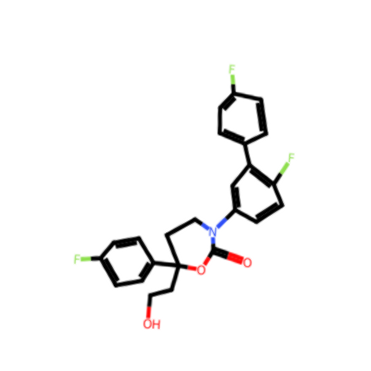 O=C1OC(CCO)(c2ccc(F)cc2)CCN1c1ccc(F)c(-c2ccc(F)cc2)c1